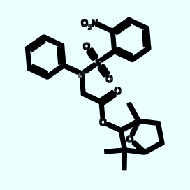 CC12CCC(O1)C(C)(C)C2OC(=O)CN(c1ccccc1)S(=O)(=O)c1ccccc1[N+](=O)[O-]